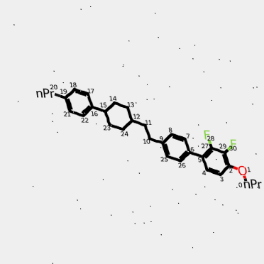 CCCOc1ccc(-c2ccc(CCC3CCC(c4ccc(CCC)cc4)CC3)cc2)c(F)c1F